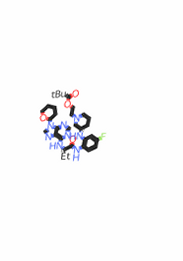 CC[C@H](Nc1ncnc2c1ncn2C1CCCCO1)C(=O)Nc1ccc(F)cc1N[C@@H]1CCCN(CCOC(=O)C(C)(C)C)C1